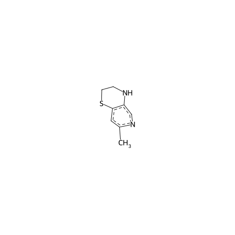 Cc1cc2c(cn1)NCCS2